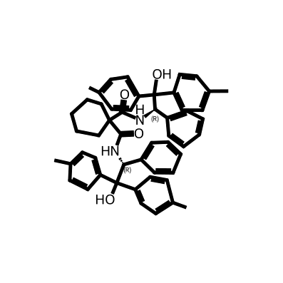 Cc1ccc(C(O)(c2ccc(C)cc2)[C@H](NC(=O)C2(C(=O)N[C@H](c3ccccc3)C(O)(c3ccc(C)cc3)c3ccc(C)cc3)CCCCC2)c2ccccc2)cc1